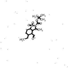 CCC1CCC2C(C1C=O)C(C)N(C(=O)OC(C)(C)C)S2(=O)=O